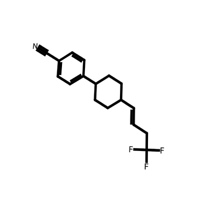 N#Cc1ccc(C2CCC(C=CCC(F)(F)F)CC2)cc1